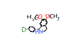 COc1cc2c(cc1OC)C(c1ccc(Cl)cc1)NCC2